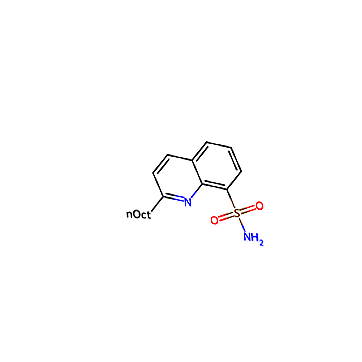 CCCCCCCCc1ccc2cccc(S(N)(=O)=O)c2n1